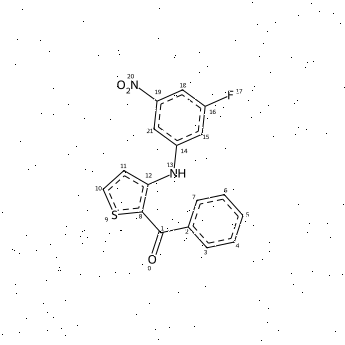 O=C(c1ccccc1)c1sccc1Nc1cc(F)cc([N+](=O)[O-])c1